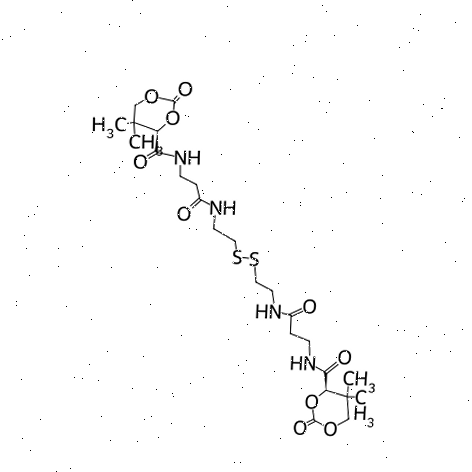 CC1(C)COC(=O)O[C@H]1C(=O)NCCC(=O)NCCSSCCNC(=O)CCNC(=O)[C@@H]1OC(=O)OCC1(C)C